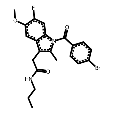 CCCNC(=O)Cc1c(C)n(C(=O)c2ccc(Br)cc2)c2cc(F)c(OC)cc12